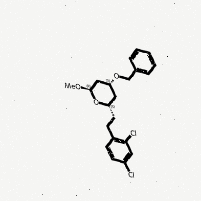 CO[C@H]1C[C@H](OCc2ccccc2)C[C@H](CCc2ccc(Cl)cc2Cl)O1